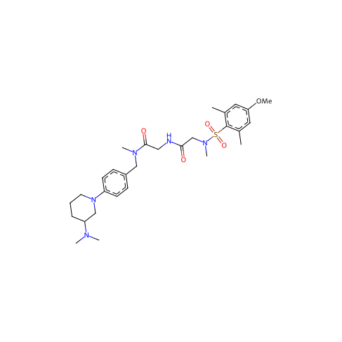 COc1cc(C)c(S(=O)(=O)N(C)CC(=O)NCC(=O)N(C)Cc2ccc(N3CCCC(N(C)C)C3)cc2)c(C)c1